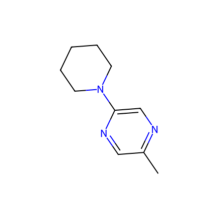 Cc1cnc(N2CCCCC2)cn1